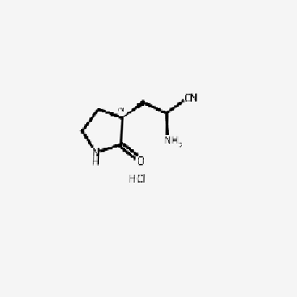 Cl.N#CC(N)C[C@@H]1CCNC1=O